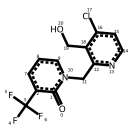 O=c1c(C(F)(F)F)cccn1Cc1nccc(Cl)c1CO